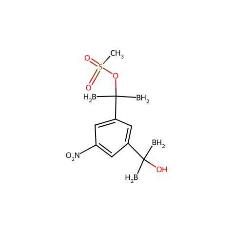 BC(B)(O)c1cc([N+](=O)[O-])cc(C(B)(B)OS(C)(=O)=O)c1